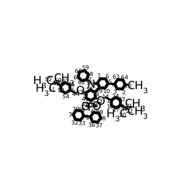 Cc1ccc(-c2ccc3c(c2)c2c(OCc4ccc(C(C)(C)C)cc4)c(P4(=O)Oc5ccccc5-c5ccccc54)cc(OCc4ccc(C(C)(C)C)cc4)c2n3-c2ccccc2)cc1